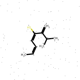 C=C(/C(S)=C\C=C/C)C(C)C